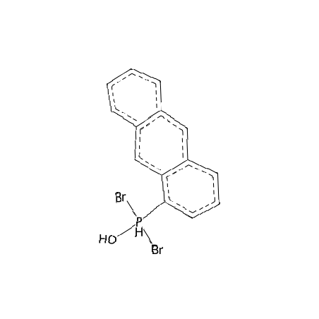 O[PH](Br)(Br)c1cccc2cc3ccccc3cc12